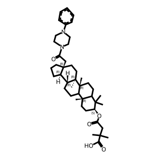 CC(C)(CC(=O)O[C@H]1CC[C@@]2(C)C(CC[C@]3(C)C2CC[C@@H]2[C@H]4CCC[C@]4(CC(=O)N4CCN(c5ccccc5)CC4)CC[C@]23C)C1(C)C)C(=O)O